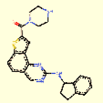 O=C(c1cc2c(ccc3cnc(N[C@@H]4CCc5ccccc54)nc32)s1)N1CCNCC1